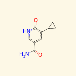 NC(=O)c1c[nH]c(=O)c(C2CC2)c1